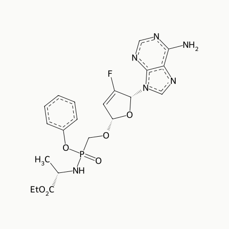 CCOC(=O)[C@H](C)NP(=O)(CO[C@@H]1C=C(F)[C@H](n2cnc3c(N)ncnc32)O1)Oc1ccccc1